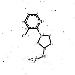 O=C(O)NC1CCN(c2ncccc2Cl)C1